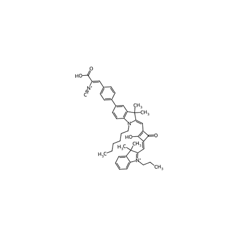 [C-]#[N+]/C(=C\c1ccc(-c2ccc3c(c2)C(C)(C)C(=CC2=C(O)C(=CC4=[N+](CCC)c5ccccc5C4(C)C)C2=O)N3CCCCCC)cc1)C(=O)O